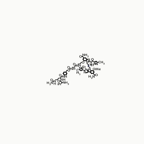 CCn1nc(C)cc1C(=O)Nc1nc2cc(C(N)=O)cc(OCCCNC(=O)CCNC(=O)OCc3ccc(NC(=O)[C@H](CCCNC(N)=O)NC(=O)C(N)C(C)C)cc3)c2n1C/C=C/Cn1c2nc(-c3cc(C)nn3CC)ncc2c2cc(C(N)=O)cc(OC)c21